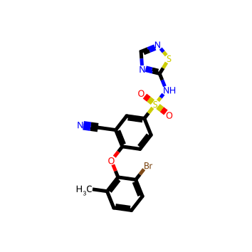 Cc1cccc(Br)c1Oc1ccc(S(=O)(=O)Nc2ncns2)cc1C#N